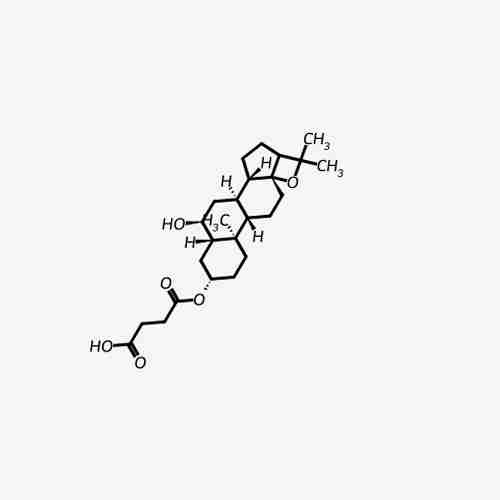 CC1(C)O[C@]23CC[C@H]4[C@@H](C[C@H](O)[C@H]5C[C@@H](OC(=O)CCC(=O)O)CC[C@@]54C)[C@@H]2CCC13